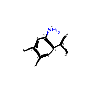 C=C(C)c1cc(C)c(C)cc1N